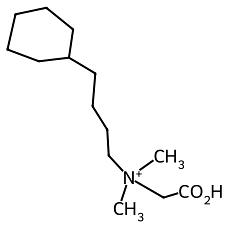 C[N+](C)(CCCCC1CCCCC1)CC(=O)O